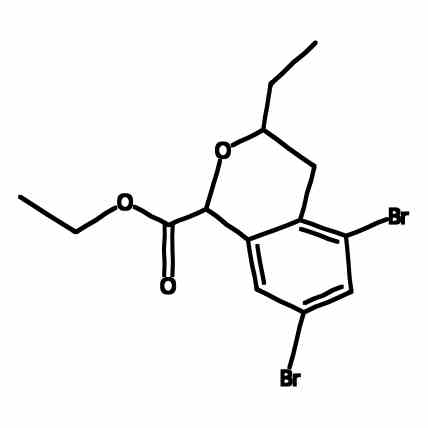 CCOC(=O)C1OC(CC)Cc2c(Br)cc(Br)cc21